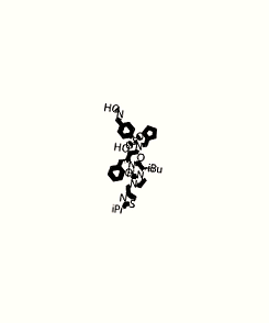 CC[C@H](C)[C@@H](C(=O)N[C@@H](Cc1ccccc1)[C@H](O)CN(CC1CCCC1)S(=O)(=O)c1ccc(C=NO)cc1)N1CCN(Cc2csc(C(C)C)n2)C1=O